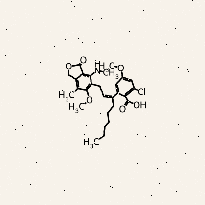 CCCCCCC(=CCc1c(NC)c2c(c(C)c1OC)COC2=O)c1cc(OC)cc(Cl)c1C(=O)O